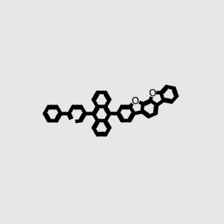 C=C(/C=C\C(=C/C)c1c2ccccc2c(-c2ccc3c(c2)oc2c3ccc3c4ccccc4oc32)c2ccccc12)c1ccccc1